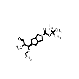 CCOC(=C1CC2CN(C(=O)OC(C)(C)C)CC2C1)C(C)C=O